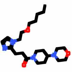 CCCCCOCCn1ccnc1CCC(=O)N1CCC(N2CCOCC2)CC1